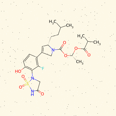 CC(C)CC[C@H]1C=C(c2ccc(O)c(N3CC(=O)NS3(=O)=O)c2F)CN1C(=O)O[C@@H](C)OC(=O)C(C)C